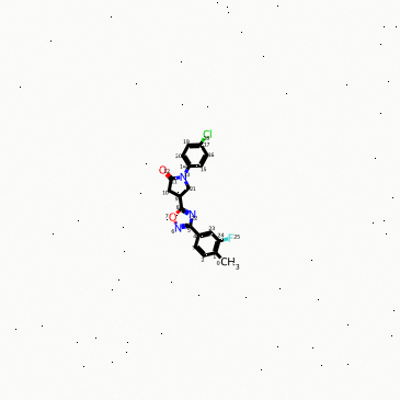 Cc1ccc(-c2noc(C3CC(=O)N(c4ccc(Cl)cc4)C3)n2)cc1F